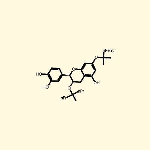 CCCCCC(C)(C)Oc1cc(O)c2c(c1)O[C@H](c1ccc(O)c(O)c1)[C@H](OC(C)(CCC)CCC)C2